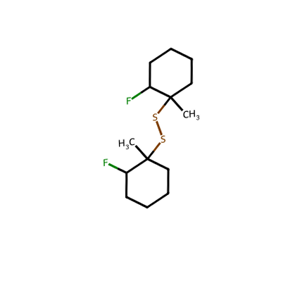 CC1(SSC2(C)CCCCC2F)CCCCC1F